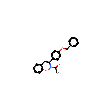 CC(=O)N(O)C(Cc1ccccc1)c1ccc(OCc2ccccc2)cc1